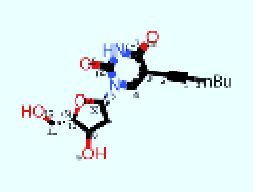 CCCCC#Cc1cn([C@@H]2CC(O)[C@H](CO)O2)c(=O)[nH]c1=O